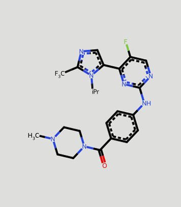 CC(C)n1c(-c2nc(Nc3ccc(C(=O)N4CCN(C)CC4)cc3)ncc2F)cnc1C(F)(F)F